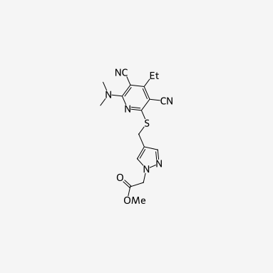 CCc1c(C#N)c(SCc2cnn(CC(=O)OC)c2)nc(N(C)C)c1C#N